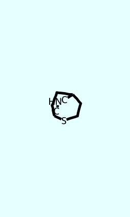 C1CC2CCC(CNC2)S1